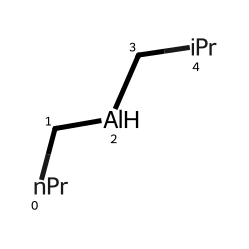 CCC[CH2][AlH][CH2]C(C)C